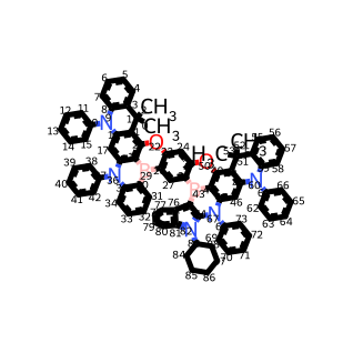 CC1(C)c2ccccc2N(c2ccccc2)c2cc3c4c(c21)Oc1cc2c(cc1B4c1ccccc1N3c1ccccc1)B1c3c(cc4c(c3O2)C(C)(C)c2ccccc2N4c2ccccc2)N(c2ccccc2)c2c1c1ccccc1n2C1CCCCC1